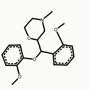 COc1ccccc1OC(c1ccccc1OC)C1CN(C)CCO1